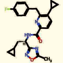 Cc1nc([C@H](CC2CC2)NC(=O)c2ccc(C3CC3)c(Cc3ccc(F)cc3)n2)no1